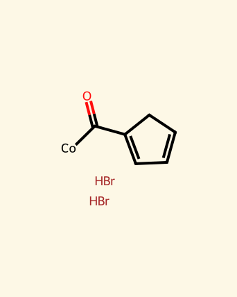 Br.Br.O=[C]([Co])C1=CC=CC1